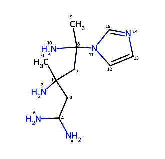 CC(N)(CC(N)N)CC(C)(N)n1ccnc1